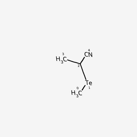 C[Te]C(C)C#N